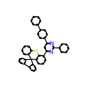 c1ccc(-c2ccc(-c3cc(-c4cccc5c4Sc4ccccc4C54c5ccccc5-c5ccccc54)nc(-c4ccccc4)n3)cc2)cc1